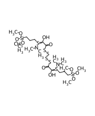 CO[Si](CCCS(=C(O)C(=O)SSSSC(=O)C(O)=S(CCC[Si](OC)(OC)OC)N(C)C)N(C)C)(OC)OC